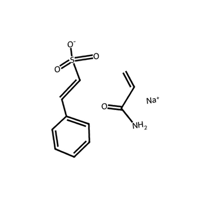 C=CC(N)=O.O=S(=O)([O-])C=Cc1ccccc1.[Na+]